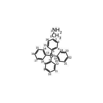 CN.c1ccc([B-](c2ccccc2)(c2ccccc2)c2ccccc2)cc1